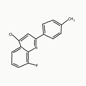 Cc1ccc(-c2cc(Cl)c3cccc(F)c3n2)cc1